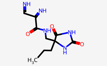 CCCC1(CNC(=O)C(=N)C=N)NC(=O)NC1=O